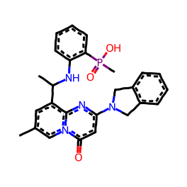 Cc1cc(C(C)Nc2ccccc2P(C)(=O)O)c2nc(N3Cc4ccccc4C3)cc(=O)n2c1